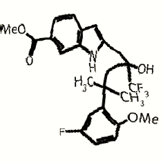 COC(=O)c1ccc2cc(CC(O)(CC(C)(C)c3cc(F)ccc3OC)C(F)(F)F)[nH]c2c1